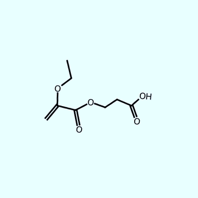 C=C(OCC)C(=O)OCCC(=O)O